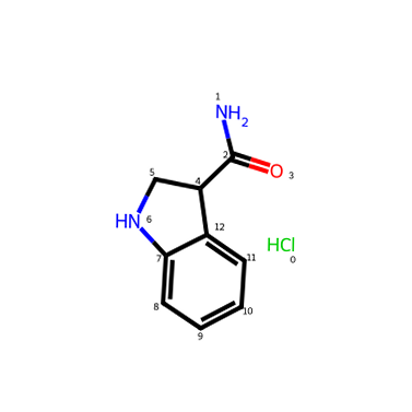 Cl.NC(=O)C1CNc2ccccc21